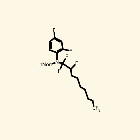 CCCCCCCCCN(c1ccc(F)cc1F)C(F)(F)C(F)CCCCCCC(F)(F)F